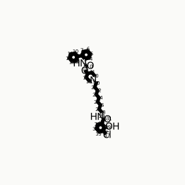 O=C(Nc1ccccc1-c1ccccc1)OC1CCN(CCCCCCCCCNC(=O)c2cccc(Cl)c2O)CC1